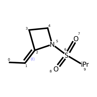 C/C=C1\CCN1S(=O)(=O)C(C)C